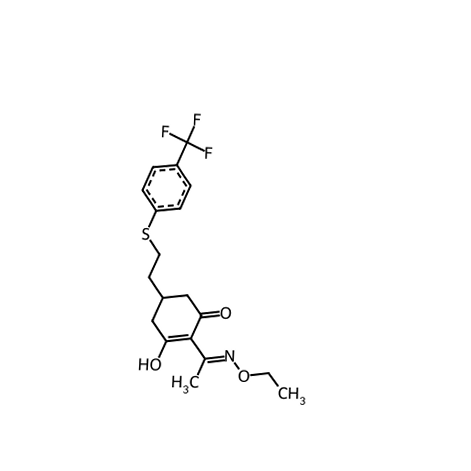 CCON=C(C)C1=C(O)CC(CCSc2ccc(C(F)(F)F)cc2)CC1=O